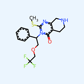 CSc1nc2c(c(=O)n1C(COCC(F)(F)F)c1ccccc1)CCNC2